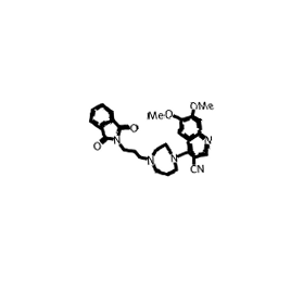 COc1cc2ncc(C#N)c(N3CCCN(CCCN4C(=O)c5ccccc5C4=O)CC3)c2cc1OC